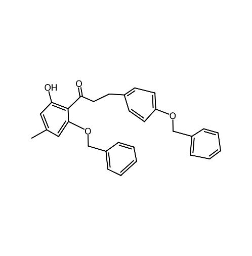 Cc1cc(O)c(C(=O)CCc2ccc(OCc3ccccc3)cc2)c(OCc2ccccc2)c1